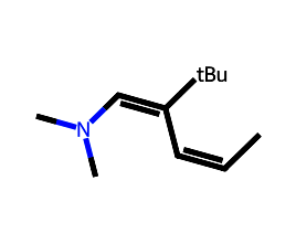 C/C=C\C(=C/N(C)C)C(C)(C)C